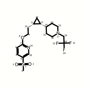 CS(=O)(=O)c1ccc(OCC[C@@H]2C[C@@H]2C2CCN(CC(F)(F)F)CC2)nc1